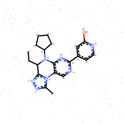 CCC1c2nnc(C)n2-c2cnc(-c3ccnc(O)c3)nc2N1C1CCCC1